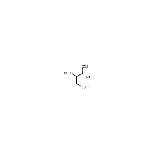 O=C(O)CC(CC(=O)O)C(=O)O.[Na]